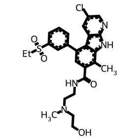 CCS(=O)(=O)c1cccc(-c2cc(C(=O)NCCN(C)CCO)c(C)c3[nH]c4ncc(Cl)cc4c23)c1